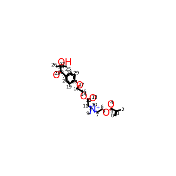 C=C(C)C(=O)OCC[N+](C)(C)CC(=O)OCCOc1ccc(C(=O)C(C)(C)O)cc1